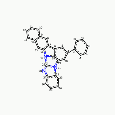 c1ccc(-c2cc3c4cc5ccccc5cc4n4c3c(c2)n2c3ccccc3nc24)cc1